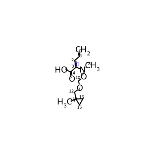 C=C/C=C(/C(=O)O)N(C)OCOCC1(C)CC1